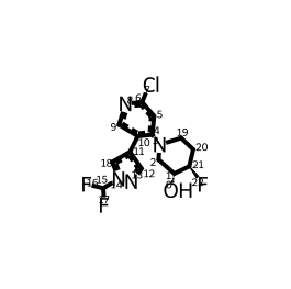 O[C@@H]1CN(c2cc(Cl)ncc2-c2cnn(C(F)F)c2)CC[C@H]1F